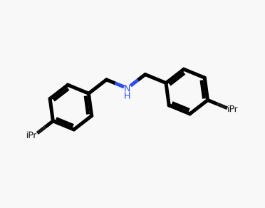 CC(C)c1ccc(CNCc2ccc(C(C)C)cc2)cc1